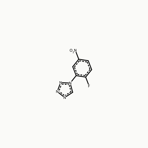 O=[N+]([O-])c1ccc(F)c(-n2cnnn2)c1